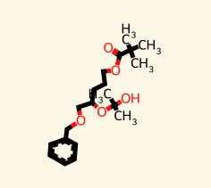 CC(C)(O)OC(CCCOC(=O)C(C)(C)C)COCc1ccccc1